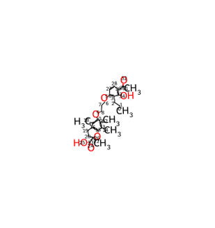 CCCc1c(OCCCOc2c(C)c(C)c3c(c2C)CCC(C)(C(=O)O)O3)ccc(C(C)=O)c1O